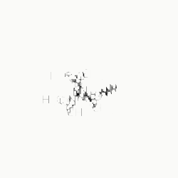 COCN(COC)c1nc(N(COC)COC)nc(N(COC)COCN=[N+]=[N-])n1